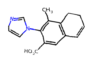 Cc1c2c(cc(C(=O)O)c1-n1ccnc1)C=CCC2